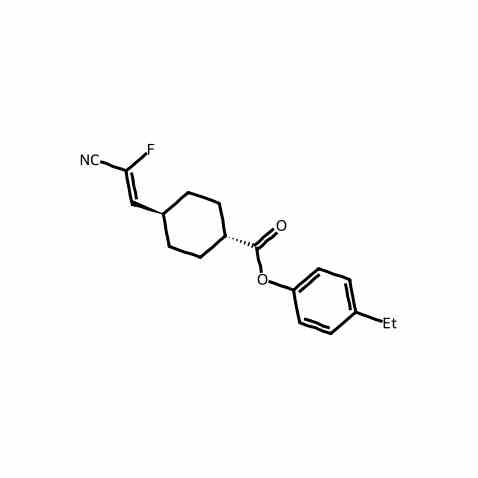 CCc1ccc(OC(=O)[C@H]2CC[C@H](C=C(F)C#N)CC2)cc1